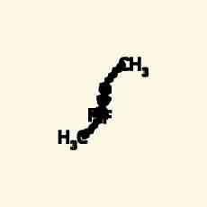 CCCCCCCCc1c(F)cc(C2C=CC([C@H]3CC[C@H](CCCCCCCC)CC3)=CC2)cc1F